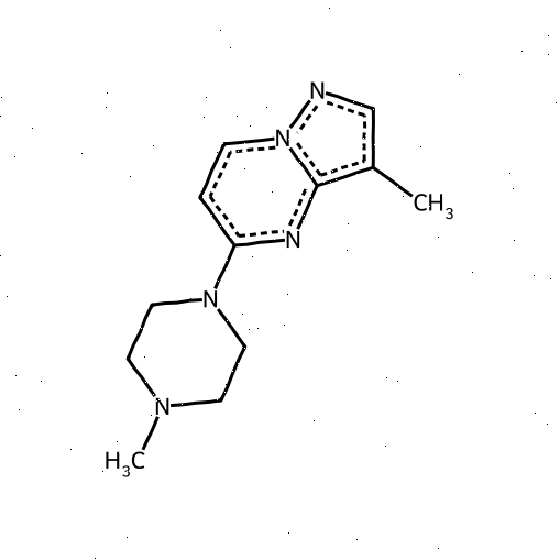 Cc1cnn2ccc(N3CCN(C)CC3)nc12